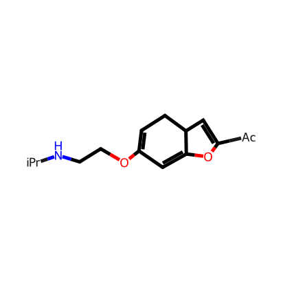 CC(=O)C1=CC2CC=C(OCCNC(C)C)C=C2O1